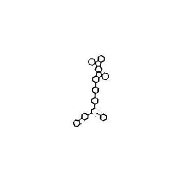 c1ccc(-c2nc(-c3ccc(-c4ccc(-c5ccc6c(c5)C5(CCCCC5)c5cc7c(cc5-6)C5(CCCCC5)c5ccccc5-7)cc4)cc3)cc(-c3ccc4c(c3)oc3ccccc34)n2)cc1